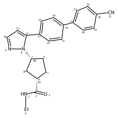 CCNC(=O)[C@H]1CC[C@@H](n2nccc2-c2ccc(-c3ccc(C#N)cc3)cc2)C1